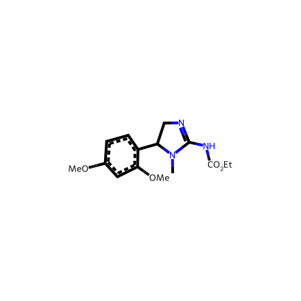 CCOC(=O)NC1=NCC(c2ccc(OC)cc2OC)N1C